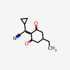 CCC1CC(=O)C(=C(C#N)C2CC2)C(=O)C1